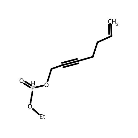 C=CCCC#CCO[PH](=O)OCC